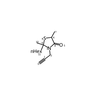 C#CCN1C(=O)C(C)SC1(C)CCCCCC